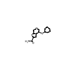 NC(=O)c1cc2c(Sc3ccccc3)cncc2s1